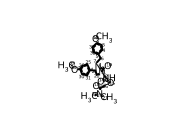 COc1ccc(CCN2C(=O)N(NS(=O)(=O)CC(=O)N(C)C)CC2c2ccc(OC)cc2)cc1